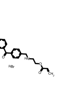 Br.C=CC(=O)OCCNCc1ccc(C(=O)c2ccccc2)cc1